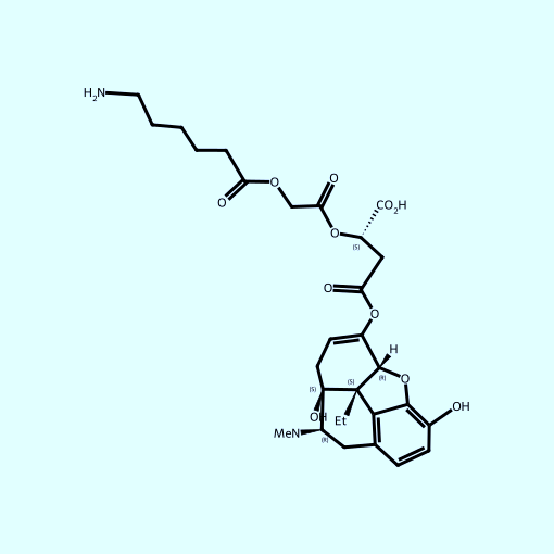 CC[C@]12c3c4ccc(O)c3O[C@H]1C(OC(=O)C[C@H](OC(=O)COC(=O)CCCCCN)C(=O)O)=CC[C@@]2(O)[C@H](NC)C4